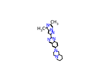 Cc1cn2nc(-c3ncc4cc(N5CCN6CCCCC6C5)ccc4n3)cc2c(C)n1